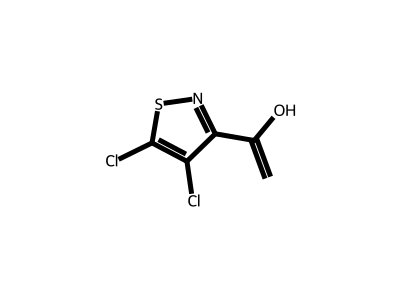 C=C(O)c1nsc(Cl)c1Cl